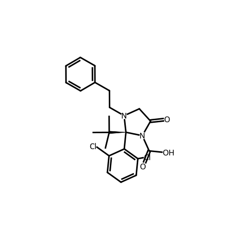 CC(C)(C)[C@@]1(c2c(Cl)cccc2Cl)N(CCc2ccccc2)CC(=O)N1C(=O)O